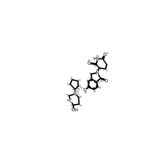 O=C1CCC(N2Cc3cc(O[C@H]4CCC[C@@H]4N4CCC(O)CC4)ccc3C2=O)C(=O)N1